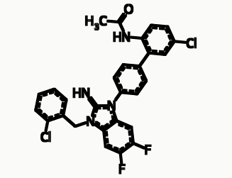 CC(=O)Nc1ccc(Cl)cc1-c1ccc(-n2c(=N)n(Cc3ccccc3Cl)c3cc(F)c(F)cc32)cc1